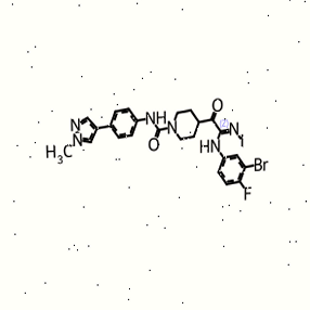 Cn1cc(-c2ccc(NC(=O)N3CCC(C(=O)/C(=N/I)Nc4ccc(F)c(Br)c4)CC3)cc2)cn1